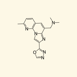 Cc1ccc2cc(CN(C)C)c3nc(-c4nnco4)cn3c2n1